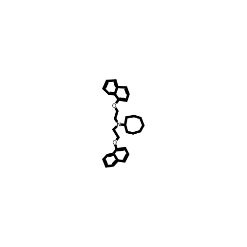 c1ccc2c(OCCN(CCOc3cccc4ccccc34)C3CCCCCCC3)cccc2c1